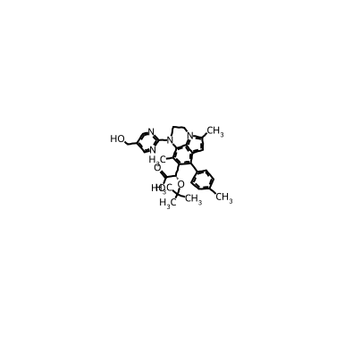 Cc1ccc(-c2c([C@H](OC(C)(C)C)C(=O)O)c(C)c3c4c2cc(C)n4CCN3c2ncc(CO)cn2)cc1